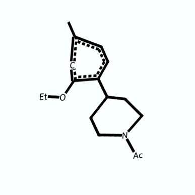 CCOc1cc(C)ccc1C1CCN(C(C)=O)CC1